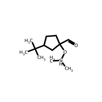 C[SiH](C)OC1(C=O)CCC(C(C)(C)C)C1